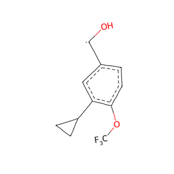 O[CH]c1ccc(OC(F)(F)F)c(C2CC2)c1